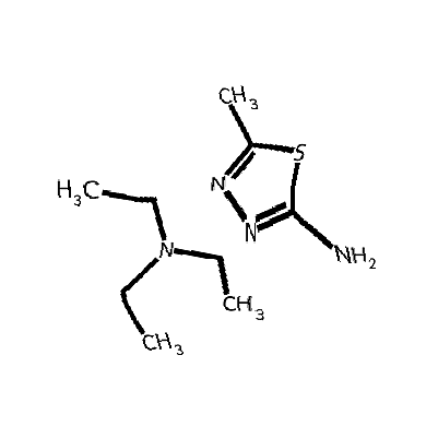 CCN(CC)CC.Cc1nnc(N)s1